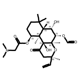 C=C[C@@]1(C)CC(=O)[C@]2(O)[C@@]3(C)[C@@H](OC(=O)CN(C)C)CCC(C)(C)[C@@H]3[C@H](O)[C@H](OC=O)[C@@]2(C)O1